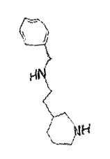 c1ccc(CNCCC2CCCNC2)cc1